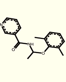 Cc1cccc(C)c1OC(C)NC(=O)c1cccnc1